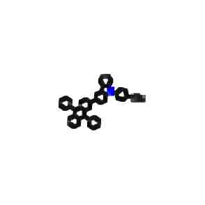 CC(C)(C)c1ccc(-n2c3ccccc3c3cc(-c4ccc5c(-c6ccccc6)c6ccccc6c(-c6ccccc6)c5c4)ccc32)cc1